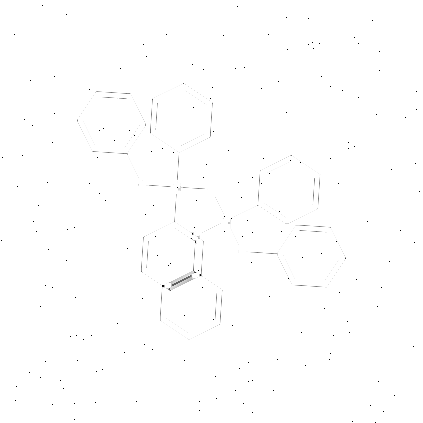 c1ccc(O[Si](Oc2ccccc2)(O[Si](Oc2ccccc2)(c2ccccc2)c2ccccc2)c2ccccc2)cc1